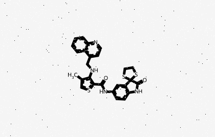 Cc1csc(C(=O)Nc2ccc3c(c2)C2(SCCS2)C(=O)N3)c1NCc1ccnc2ccccc12